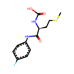 CSCC[C@H](NC(=O)O)C(=O)Nc1ccc(F)cc1